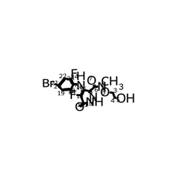 CN(OCCO)C(=O)c1n[nH]c(=O)c(F)c1Nc1ccc(Br)cc1F